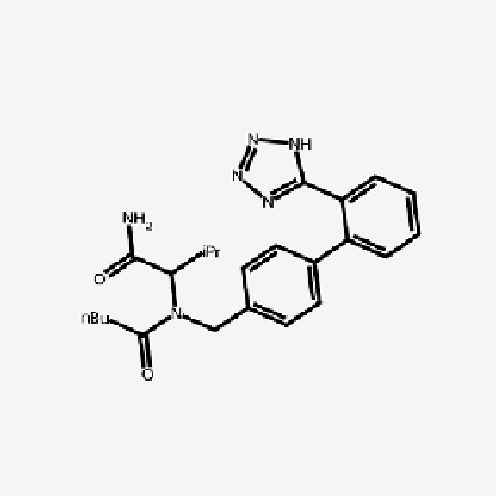 CCCCC(=O)N(Cc1ccc(-c2ccccc2-c2nnn[nH]2)cc1)C(C(N)=O)C(C)C